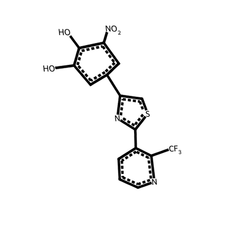 O=[N+]([O-])c1cc(-c2csc(-c3cccnc3C(F)(F)F)n2)cc(O)c1O